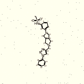 CS(=O)(=O)Nc1cccc(N2CC3CN(Cc4cn(-c5ccccc5)nn4)CC3C2)c1